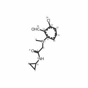 CN(CC(=O)NC1CC1)c1cccc(Cl)c1C=O